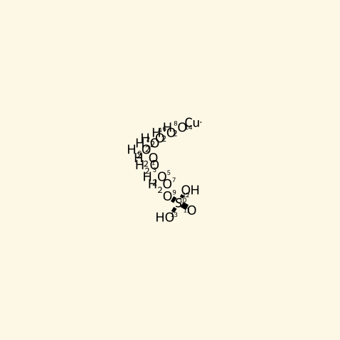 O.O.O.O.O.O.O.O.O.O=S(=O)(O)O.[Cu]